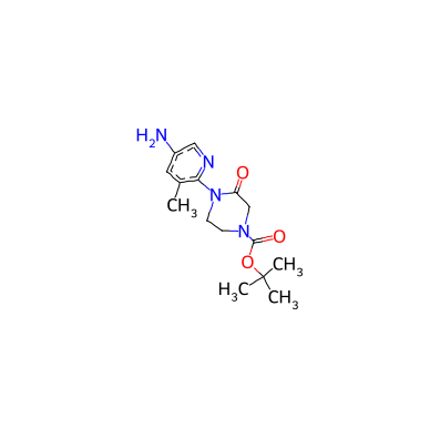 Cc1cc(N)cnc1N1CCN(C(=O)OC(C)(C)C)CC1=O